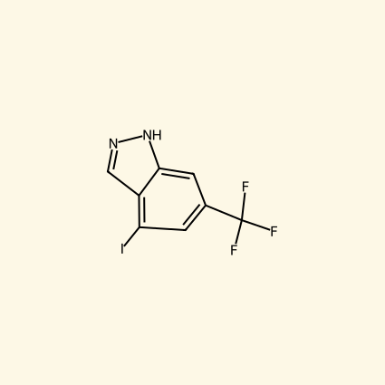 FC(F)(F)c1cc(I)c2cn[nH]c2c1